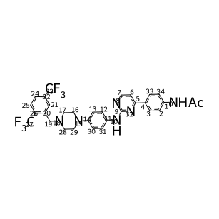 CC(=O)Nc1ccc(-c2ccnc(Nc3ccc(N4CCN(Cc5cc(C(F)(F)F)ccc5C(F)(F)F)CC4)cc3)n2)cc1